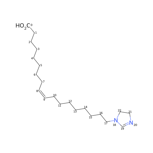 O=C(O)CCCCCCC/C=C\CCCCCCCCN1C=NCC1